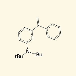 C=C(c1ccccc1)c1cccc(N(C(C)(C)C)C(C)(C)C)c1